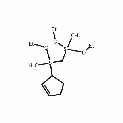 CCO[Si](C)(C[Si](C)(OCC)C1C=CCC1)OCC